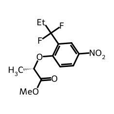 CCC(F)(F)c1cc([N+](=O)[O-])ccc1O[C@@H](C)C(=O)OC